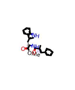 COC(=O)[C@H](Cc1c[nH]c2ccccc12)NC(=O)/C(C)=C/c1ccccc1